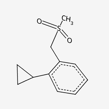 CS(=O)(=O)Cc1ccccc1C1CC1